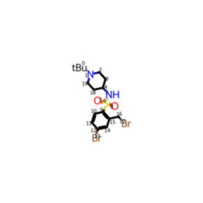 CC(C)(C)N1CCC(NS(=O)(=O)c2ccc(Br)cc2CBr)CC1